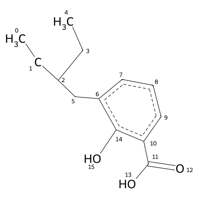 CCC(CC)Cc1cccc(C(=O)O)c1O